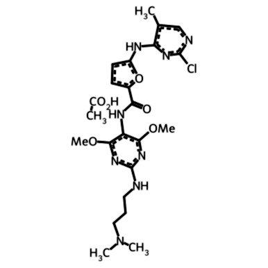 CC(=O)O.COc1nc(NCCCN(C)C)nc(OC)c1NC(=O)c1ccc(Nc2nc(Cl)ncc2C)o1